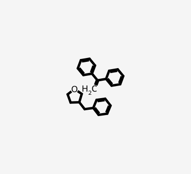 C=C(c1ccccc1)c1ccccc1.c1ccc(CC2CCOC2)cc1